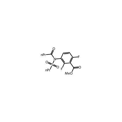 CCCC(=O)N(c1ccc(F)c(C(=O)OC)c1F)S(=O)(=O)CCC